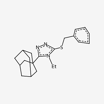 CCn1c(SCc2ccccc2)nnc1C12CC3CC(CC(C3)C1)C2